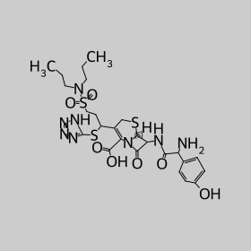 CCCN(CCC)S(=O)(=O)CCC(Sc1nnn[nH]1)C1=C(C(=O)O)N2C(=O)C(NC(=O)C(N)c3ccc(O)cc3)[C@@H]2SC1